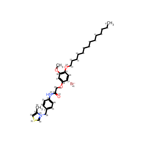 CCCCCCCCCCCCCCOc1ccc(OCC(=O)Nc2ccc(C[n+]3cscc3C)cc2)cc1OC.[Br-]